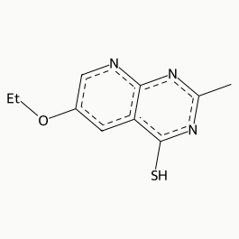 CCOc1cnc2nc(C)nc(S)c2c1